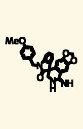 COc1ccc(CN2C(=O)C3(CNC(=N)c4cc5c(cc43)OCO5)c3ccccc32)cc1